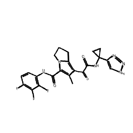 Cc1c(C(=O)C(=O)NC2(c3c[nH]nn3)CC2)c2n(c1C(=O)Nc1ccc(F)c(F)c1F)CCC2